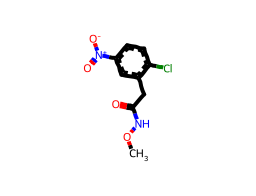 CONC(=O)Cc1cc([N+](=O)[O-])ccc1Cl